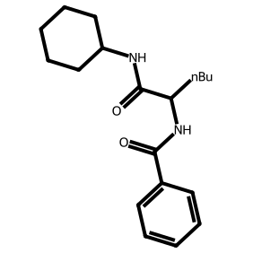 CCCCC(NC(=O)c1ccccc1)C(=O)NC1CCCCC1